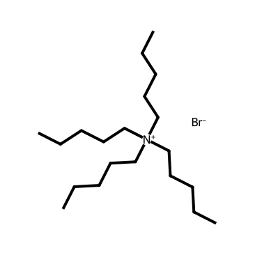 CCCCC[N+](CCCCC)(CCCCC)CCCCC.[Br-]